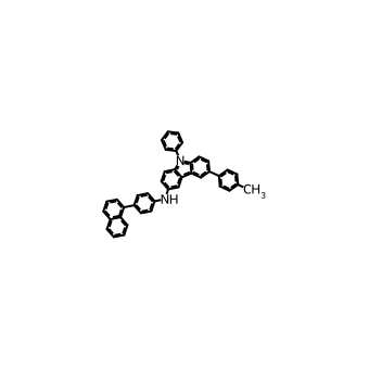 Cc1ccc(-c2ccc3c(c2)c2cc(Nc4ccc(-c5cccc6ccccc56)cc4)ccc2n3-c2ccccc2)cc1